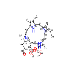 C=Cc1c(C)c2cc3nc(c(CC(=O)OC)c4[nH]c(cc5nc(cc1[nH]2)C(C)=C5CC)c(C)c4C(=O)OC)[C@@H](CCC=O)[C@@H]3C